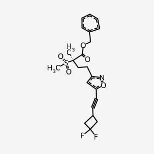 C[C@@](CCc1cc(C#CC2CC(F)(F)C2)on1)(C(=O)OCc1ccccc1)S(C)(=O)=O